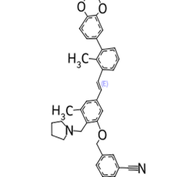 Cc1cc(/C=C/c2cccc(-c3ccc4c(c3)OCCO4)c2C)cc(OCc2cccc(C#N)c2)c1CN1CCCC1